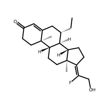 CC[C@H]1CC2=CC(=O)CC[C@]2(C)[C@H]2CC[C@]3(C)C(=C(F)CO)CC[C@H]3[C@H]12